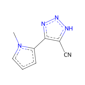 Cn1cccc1-c1nn[nH]c1C#N